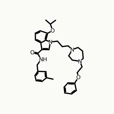 Cc1cccc(CNC(=O)c2cn(CCCN3CCCN(CCOc4ccccc4)CC3)c3c(OC(C)C)cccc23)c1